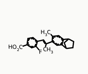 C/C(=C\c1ccc(C(=O)O)cc1F)c1cc2c(cc1C)C1CCC2C1